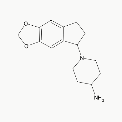 NC1CCN(C2CCc3cc4c(cc32)OCO4)CC1